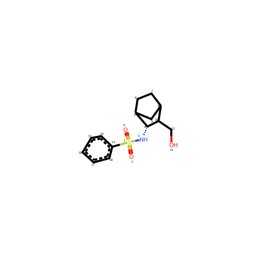 O=S(=O)(N[C@@H]1C2CCC(C2)C1CO)c1ccccc1